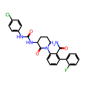 NC(=O)c1c(-c2ccccc2F)cccc1N1CCCC(NC(=O)Nc2ccc(Cl)cc2)C1=O